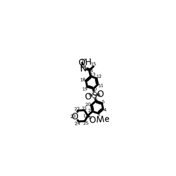 COC1(c2cccc(S(=O)(=O)c3ccc(C(C)=NO)cc3)c2)CCOCC1